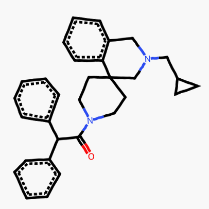 O=C(C(c1ccccc1)c1ccccc1)N1CCC2(CC1)CN(CC1CC1)Cc1ccccc12